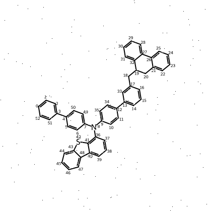 c1ccc(-c2ccc(N(c3ccc(-c4cccc(CC5Cc6ccccc6-c6ccccc65)c4)cc3)c3cccc4c3sc3ccccc34)cc2)cc1